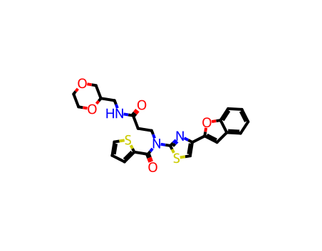 O=C(CCN(C(=O)c1cccs1)c1nc(-c2cc3ccccc3o2)cs1)NCC1COCCO1